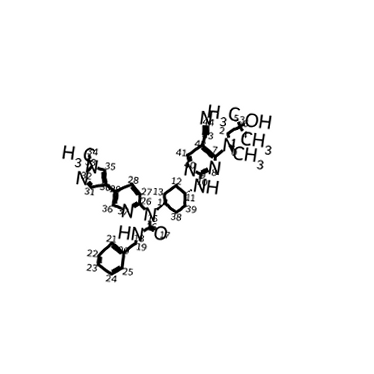 CN(CC(C)(C)O)c1nc(N[C@H]2CC[C@H](N(C(=O)NCc3ccccc3)c3ccc(-c4cnn(C)c4)cn3)CC2)ncc1C#N